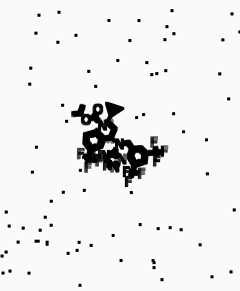 CC(C)OC(=O)N1c2ccc(C(F)(F)F)cc2[C@H](N(Cc2cc(C(F)(F)F)cc(C(F)(F)F)c2)c2nnn[nH]2)C[C@@H]1C1CC1